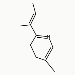 C/C=C(\C)C1=NC=C(C)CC1